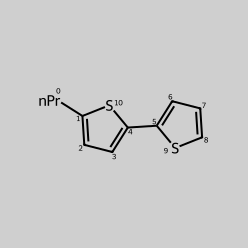 CCCc1ccc(-c2cccs2)s1